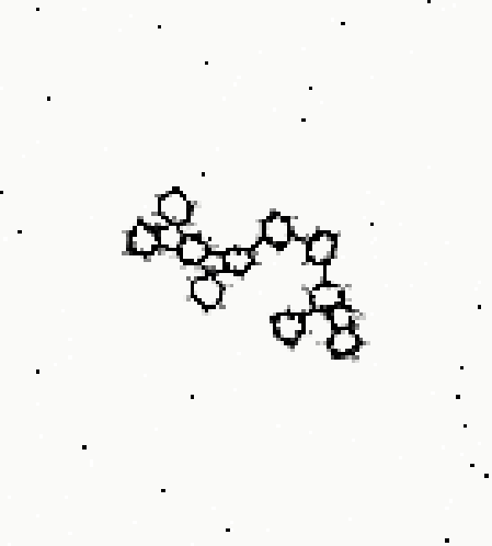 c1ccc(-c2nc(-c3cccc(-c4cccc(-c5ccc6c(c5)-c5cc7c(cc5C65CCCCC5)-c5ccccc5C75CCCCC5)c4)c3)nc3oc4ccccc4c23)cc1